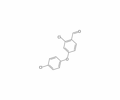 O=Cc1ccc(Oc2ccc(Cl)cc2)cc1Cl